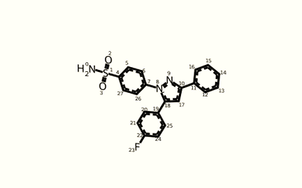 NS(=O)(=O)c1ccc(-n2nc(-c3ccccc3)cc2-c2ccc(F)cc2)cc1